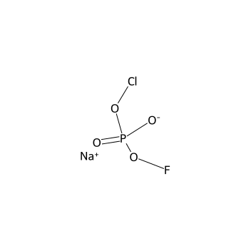 O=P([O-])(OF)OCl.[Na+]